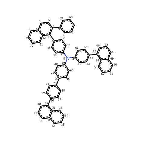 c1ccc(-c2ccc3ccccc3c2-c2ccc(N(c3ccc(-c4ccc(-c5cccc6ccccc56)cc4)cc3)c3ccc(-c4cccc5ccccc45)cc3)cc2)cc1